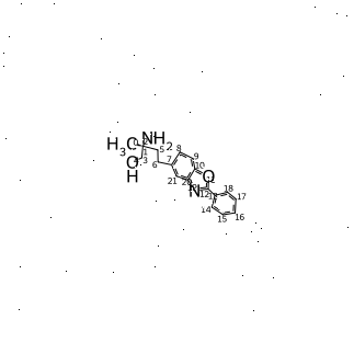 C[C@](N)(CO)CCc1ccc2oc(-c3ccccc3)nc2c1